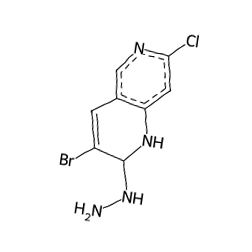 NNC1Nc2cc(Cl)ncc2C=C1Br